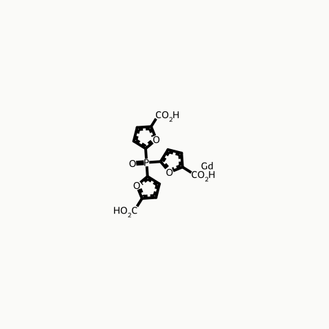 O=C(O)c1ccc(P(=O)(c2ccc(C(=O)O)o2)c2ccc(C(=O)O)o2)o1.[Gd]